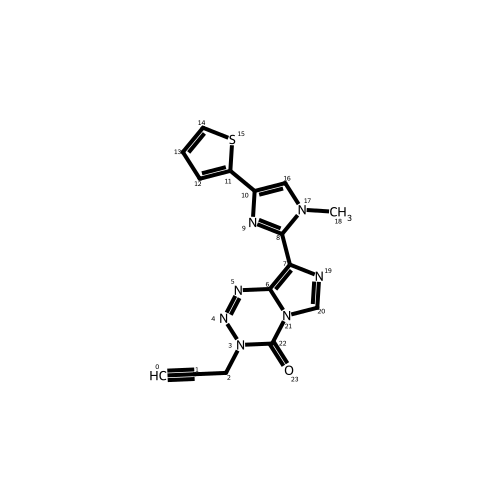 C#CCn1nnc2c(-c3nc(-c4cccs4)cn3C)ncn2c1=O